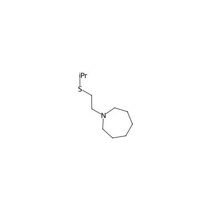 CC(C)SCCN1CCCCCC1